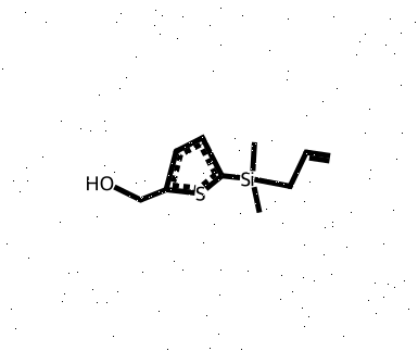 C=CC[Si](C)(C)c1ccc(CO)s1